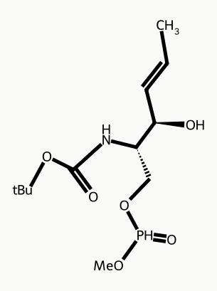 C/C=C/[C@@H](O)[C@H](CO[PH](=O)OC)NC(=O)OC(C)(C)C